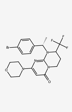 C[C@@H](c1ccc(Br)cc1)N1c2nc(N3CCOCC3)cc(=O)n2CCC1C(F)(F)F